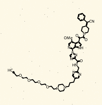 C#CCOCCOCCOCCOCCN1CCN(CCCc2cnc(CNC(=O)c3ncn(-c4ncc(OC)c5c(C(=O)C(=O)N6CCC(=C(C#N)c7ccccc7)CC6)c[nH]c45)n3)nc2)CC1